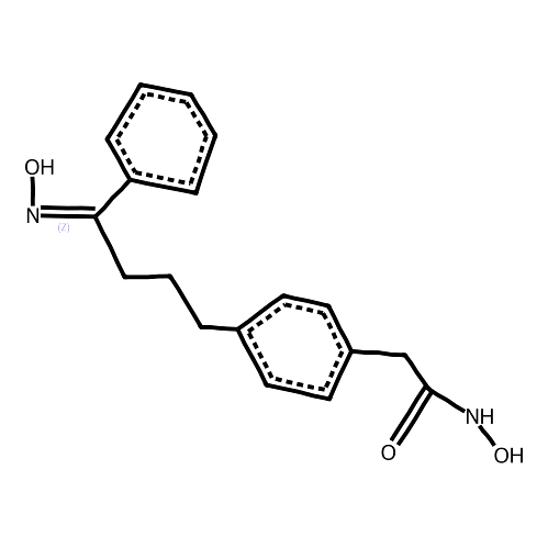 O=C(Cc1ccc(CCC/C(=N/O)c2ccccc2)cc1)NO